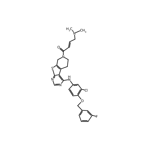 CN(C)C/C=C/C(=O)N1CCc2c(sc3ncnc(Nc4ccc(OCc5cccc(F)c5)c(Cl)c4)c23)C1